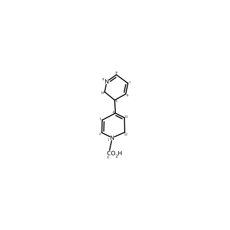 O=C(O)N1C=CC(C2C=CC=NC2)=CC1